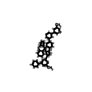 Cc1cncc(-c2cccc(-c3ccc4c(c3)C3(c5ccccc5Sc5ccccc53)c3cc(-c5cc(-c6ccccc6)nc(C)n5)ccc3-4)c2)c1